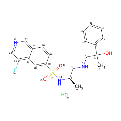 C[C@H](CNCC(C)(O)c1ccccc1)NS(=O)(=O)c1ccc2cncc(F)c2c1.Cl